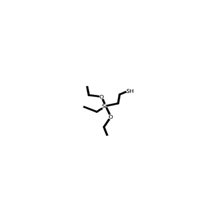 CCO[Si](CC)(CCS)OCC